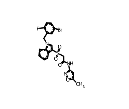 Cc1cc(NC(=O)CS(=O)(=O)c2cn(Cc3cc(Br)ccc3F)c3ccccc23)no1